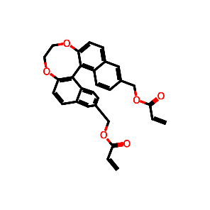 C=CC(=O)OCc1ccc2c3c(ccc2c1)OCCOc1ccc2cc(COC(=O)C=C)ccc2c1-3